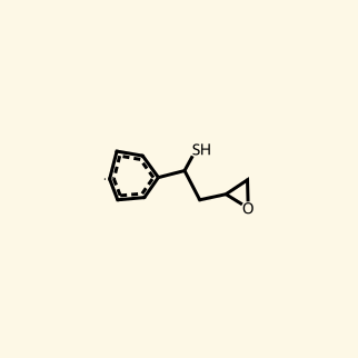 SC(CC1CO1)c1cc[c]cc1